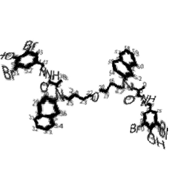 CC(C(=O)N/N=C/c1cc(Br)c(O)c(Br)c1)N(CCCCOCCCCN(c1ccc2ccccc2c1)C(C)C(=O)N/N=C/c1cc(Br)c(O)c(Br)c1)c1ccc2ccccc2c1